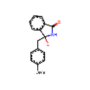 COc1ccc(CC2(O)NC(=O)c3ccccc32)cc1